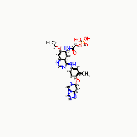 CCOc1cc2ncnc(Nc3ccc(Oc4cc5nncn5cn4)c(C)c3)c2cc1NC(=O)COP(=O)(O)O